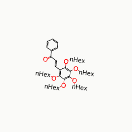 CCCCCCOc1c(C=CC(=O)c2ccccc2)c(OCCCCCC)c(OCCCCCC)c(OCCCCCC)c1OCCCCCC